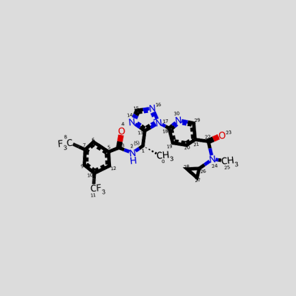 C[C@H](NC(=O)c1cc(C(F)(F)F)cc(C(F)(F)F)c1)c1ncnn1-c1ccc(C(=O)N(C)C2CC2)cn1